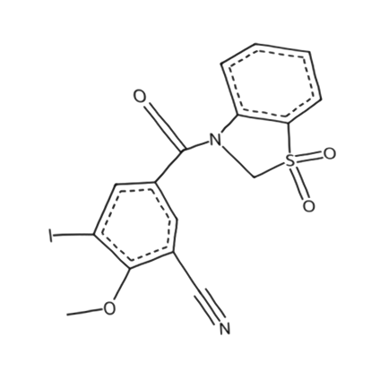 COc1c(I)cc(C(=O)N2CS(=O)(=O)c3ccccc32)cc1C#N